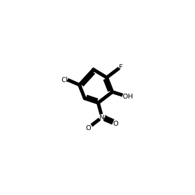 O=[N+]([O-])c1cc(Cl)cc(F)c1O